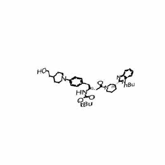 CCCCn1c([C@@H]2CCCN(C(=O)C[C@@H](Cc3ccc(N4CCC(CCO)CC4)cc3)NC(=O)OC(C)(C)C)C2)nc2ccccc21